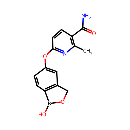 Cc1nc(Oc2ccc3c(c2)COB3O)ccc1C(N)=O